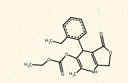 CCOC(=O)OC1=C(C)NC2=C(C(=O)OC2)C1c1ccccc1CC